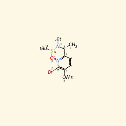 CCN([C@H](C)c1ccc(OC)c(Br)n1)[S+]([O-])C(C)(C)C